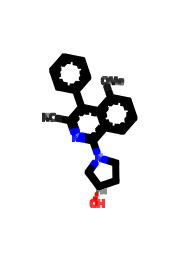 COc1cccc2c(N3CC[C@H](O)C3)nc(C#N)c(-c3ccccc3)c12